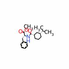 COC(=O)[C@@H](Cc1ccccc1)NC(=O)[C@H]1CCC[C@@H](C(C)C)C1